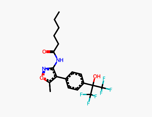 CCCCCC(=O)Nc1noc(C)c1-c1ccc(C(O)(C(F)(F)F)C(F)(F)F)cc1